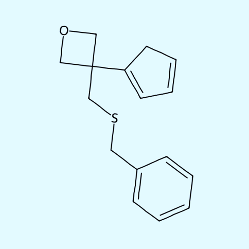 C1=CCC(C2(CSCc3ccccc3)COC2)=C1